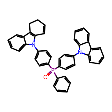 O=P(c1ccccc1)(c1ccc(-n2c3c(c4ccccc42)CCC=C3)cc1)c1ccc(-n2c3ccccc3c3ccccc32)cc1